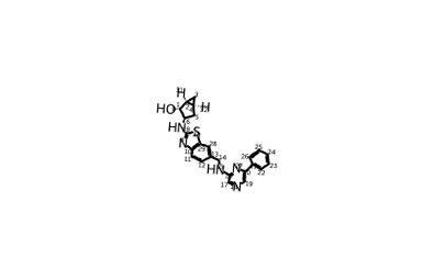 O[C@@H]1[C@H]2C[C@H]2C[C@H]1Nc1nc2ccc(CNc3cncc(-c4ccccc4)n3)cc2s1